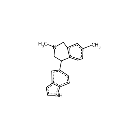 Cc1ccc2c(c1)CN(C)CC2c1ccc2[nH]ccc2c1